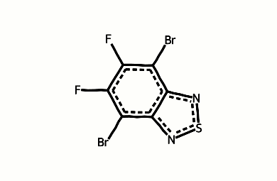 Fc1c(F)c(Br)c2nsnc2c1Br